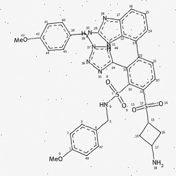 COc1ccc(CNS(=O)(=O)c2c(S(=O)(=O)C3CC(N)C3)ccc(-c3cccc4nc(N)[nH]c34)c2-c2nnn(Cc3ccc(OC)cc3)n2)cc1